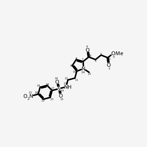 COC(=O)CCC(=O)c1ccc(CCNS(=O)(=O)c2ccc([N+](=O)[O-])cc2)n1C